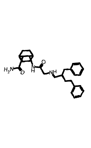 NC(=O)C1C2CCC(CC2)C1NC(=O)CNCC(CCc1ccccc1)Cc1ccccc1